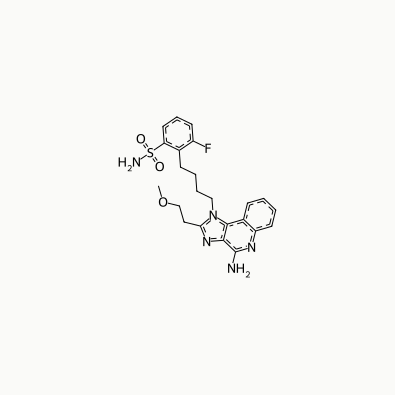 COCCc1nc2c(N)nc3ccccc3c2n1CCCCc1c(F)cccc1S(N)(=O)=O